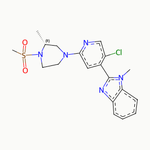 C[C@@H]1CN(c2cc(-c3nc4ccccc4n3C)c(Cl)cn2)CCN1S(C)(=O)=O